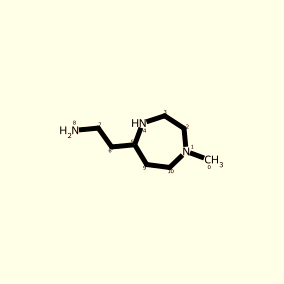 CN1CCNC(CCN)CC1